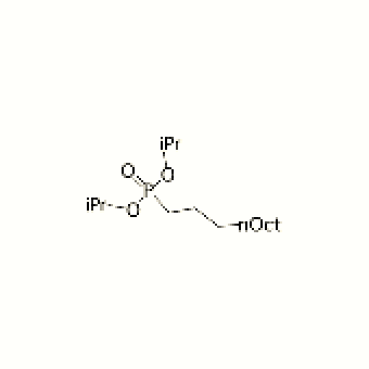 CCCCCCCCCCCP(=O)(OC(C)C)OC(C)C